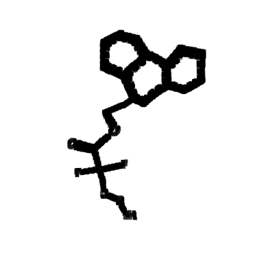 O=C(OCc1cc2ccccc2c2ccccc12)C(F)(F)OOS